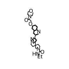 CCNC(=O)N1CCC2(CCn3nc(-c4cnc5ccc(OCC(=O)N6CCOCC6)cc5c4)cc32)C1